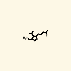 CC(F)CCCC1=C(C(C)C)C(CN)C=N1